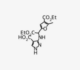 CCOC(=O)c1cc(C(Nc2n[nH]cc2C(=O)O)C(=O)OCC)oc1C